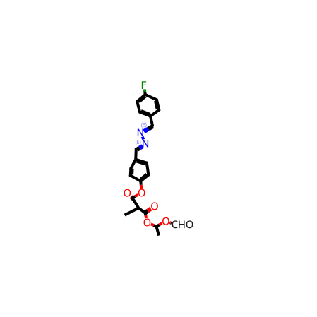 CC(OC=O)OC(=O)C(C)C(=O)Oc1ccc(/C=N/N=C/c2ccc(F)cc2)cc1